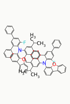 CC(C)c1cc(N(c2c(F)cc(-c3ccccc3)cc2-c2ccccc2)c2cccc3c2oc2ccccc23)c2ccc3c(C(C)C)cc(N(c4c(F)cc(-c5ccccc5)cc4-c4ccccc4)c4cccc5c4oc4ccccc45)c4ccc1c2c34